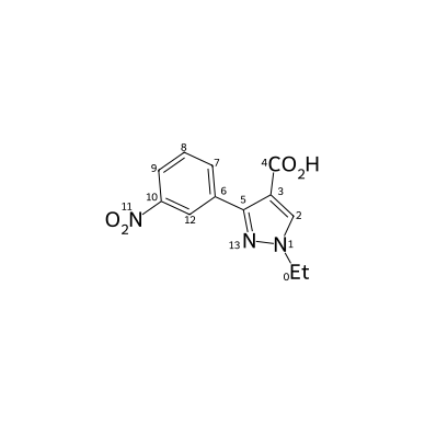 CCn1cc(C(=O)O)c(-c2cccc([N+](=O)[O-])c2)n1